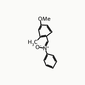 COc1ccc(C=[N+]([O-])c2ccccc2)c(C)c1